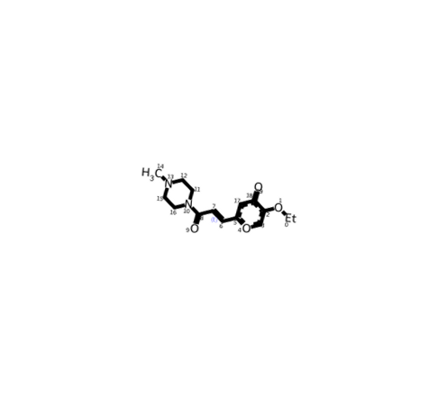 CCOc1coc(/C=C/C(=O)N2CCN(C)CC2)cc1=O